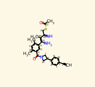 C#Cc1ccc(C2CN(C(=O)c3cc(/C(N)=C(\C)C(=N)CSC(C)=O)c(C)cc3C)C2)cc1